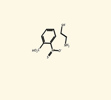 NCCS.O=C(O)c1ccccc1[N+]([O-])=S